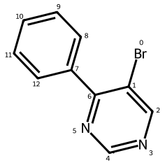 Brc1cn[c]nc1-c1ccccc1